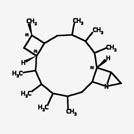 CC1CC2[C@H](C(C)C(C)C(C)CC3[C@H](C[C@H]3C)C(C)C(C)C1C)C1CN21